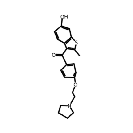 Cc1sc2cc(O)ccc2c1C(=O)c1ccc(OCCN2CCCC2)cc1